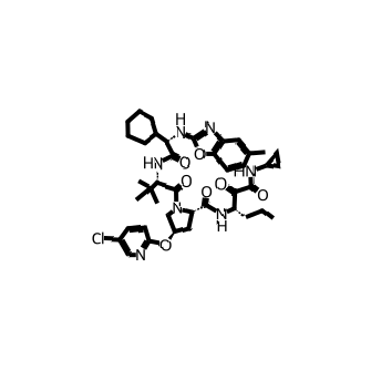 CCC[C@H](NC(=O)[C@@H]1C[C@@H](Oc2ccc(Cl)cn2)CN1C(=O)[C@@H](NC(=O)[C@@H](Nc1nc2cc(C)ccc2o1)C1CCCCC1)C(C)(C)C)C(=O)C(=O)NC1CC1